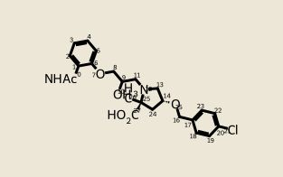 CC(=O)Nc1ccccc1OCC(O)CN1C[C@H](OCc2ccc(Cl)cc2)C[C@@]1(C)C(=O)O